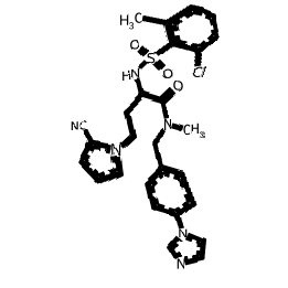 Cc1cccc(Cl)c1S(=O)(=O)NC(CCn1cccc1C#N)C(=O)N(C)Cc1ccc(-n2ccnc2)cc1